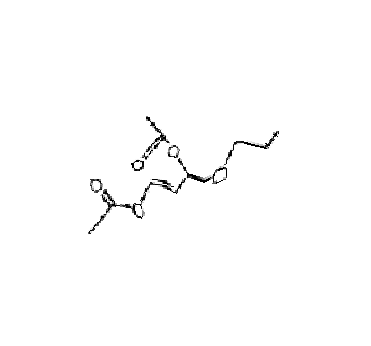 CCCOC(C=COC(C)=O)OC(C)=O